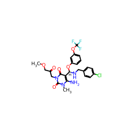 COCC(=O)Cn1c(=O)c([C@H](NCc2ccc(Cl)cc2)Oc2cccc(OC(F)(F)F)c2)c(N)n(C)c1=O